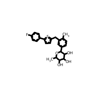 Cc1ccc(C2OC(C)C(O)C(O)C2O)cc1Cc1ccc(-c2ccc(F)cc2)s1